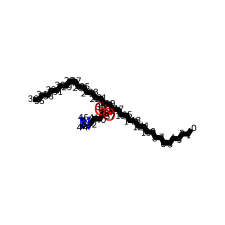 CCCCC/C=C\CCCCCCCCCCCC(CCCCCCCC/C=C\CCCCCCCC)OC(=O)CCCN(C)C